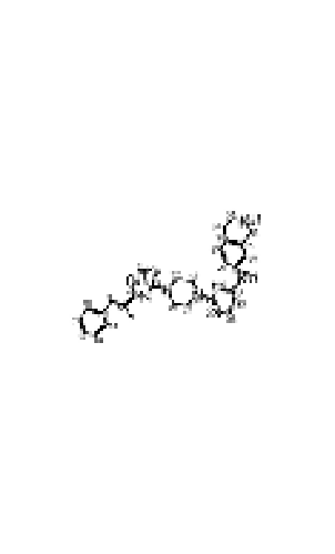 C=N/C(=N\C(O)=C(/C)Cc1ccccc1)N1CCN(c2ncnc(Nc3ccc4c(c3)CNCC4)n2)CC1